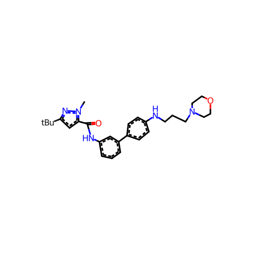 Cn1nc(C(C)(C)C)cc1C(=O)Nc1cccc(-c2ccc(NCCCN3CCOCC3)cc2)c1